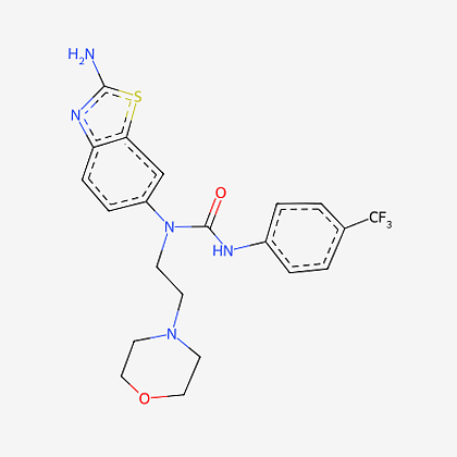 Nc1nc2ccc(N(CCN3CCOCC3)C(=O)Nc3ccc(C(F)(F)F)cc3)cc2s1